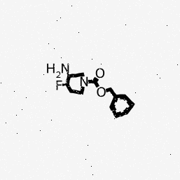 N[C@@H]1CN(C(=O)OCc2ccccc2)CC[C@H]1F